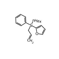 C=CC[Si](CCCCCC)(c1ccccc1)c1ccco1